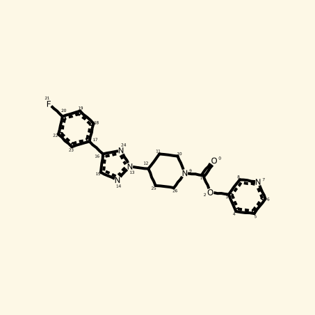 O=C(Oc1cccnc1)N1CCC(n2ncc(-c3ccc(F)cc3)n2)CC1